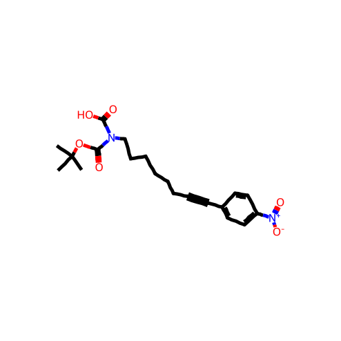 CC(C)(C)OC(=O)N(CCCCCCC#Cc1ccc([N+](=O)[O-])cc1)C(=O)O